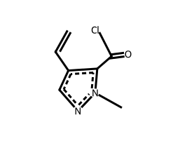 C=Cc1cnn(C)c1C(=O)Cl